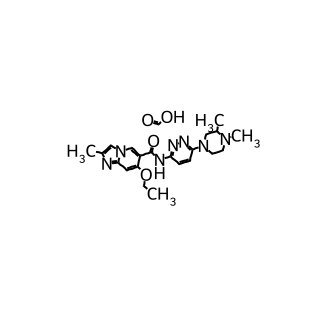 CCOc1cc2nc(C)cn2cc1C(=O)Nc1ccc(N2CCN(C)C(C)C2)nn1.O=CO